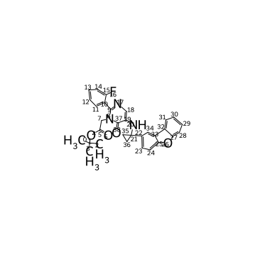 CC(C)(C)OC(=O)Cn1c(-c2ccccc2F)ncc(NC2(c3ccc4oc5ccccc5c4c3)CC2)c1=O